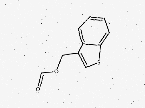 O=COCc1csc2ccccc12